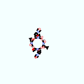 CC(C)C[C@H]1C(=O)O[C@H](C)C(=O)N(C)[C@@H](CCC2CC2)C(=O)O[C@H](Cc2ccc(N3CCOCC3)cc2)C(=O)N(C)[C@@H](CC(C)C)C(=O)O[C@H](C)C(=O)N(C)[C@@H](CC2CC2)C(=O)O[C@H](Cc2ccc(N3CCOCC3)cc2)C(=O)N1C